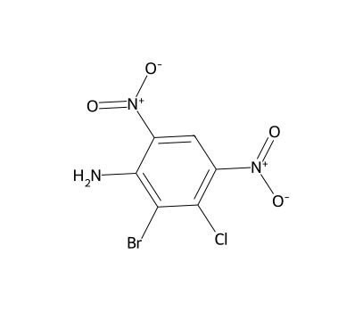 Nc1c([N+](=O)[O-])cc([N+](=O)[O-])c(Cl)c1Br